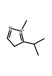 CC(C)C1=[N+](C)N=CC1